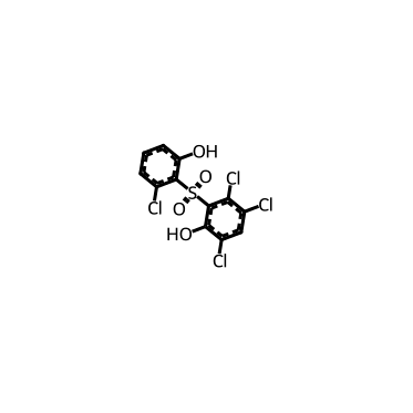 O=S(=O)(c1c(O)cccc1Cl)c1c(O)c(Cl)cc(Cl)c1Cl